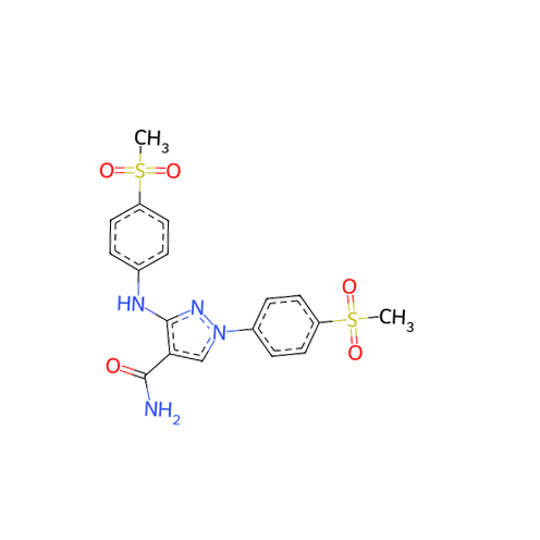 CS(=O)(=O)c1ccc(Nc2nn(-c3ccc(S(C)(=O)=O)cc3)cc2C(N)=O)cc1